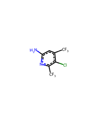 Nc1cc(C(F)(F)F)c(Cl)c(C(F)(F)F)n1